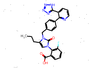 CCCc1cn(-c2c(F)cccc2C(=O)O)c(=O)n1Cc1ccc(-c2ncccc2-c2nnn[nH]2)cc1